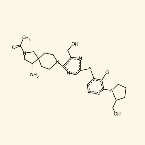 CC(=O)N1C[C@@H](N)C2(CCN(c3ncc(Sc4ccnc(N5CCCC5CO)c4Cl)nc3CO)CC2)C1